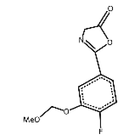 COCOc1cc(C2=NCC(=O)O2)ccc1F